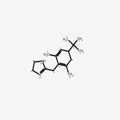 CC1=CC(C(C)(C)C)CC(C)=C1CC1=NCCN1